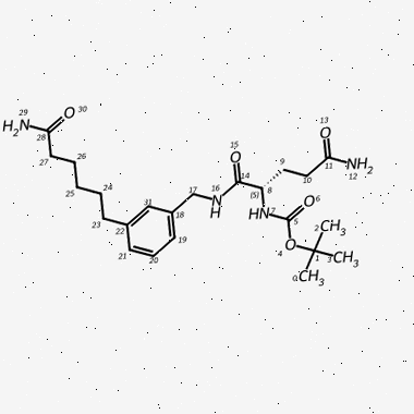 CC(C)(C)OC(=O)N[C@@H](CCC(N)=O)C(=O)NCc1cccc(CCCCCC(N)=O)c1